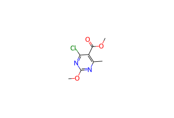 COC(=O)c1c(C)nc(OC)nc1Cl